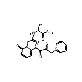 CC(C)C(NC(=O)Cn1c(NC(=O)C(=O)Cc2ccccc2)cccc1=O)C(=O)C(F)(F)F